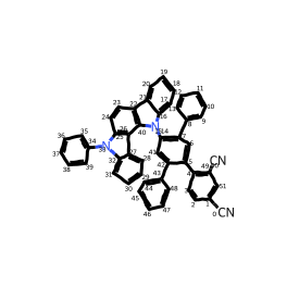 N#Cc1ccc(-c2cc(-c3ccccc3)c(-n3c4ccccc4c4ccc5c(c6ccccc6n5-c5ccccc5)c43)cc2-c2ccccc2)c(C#N)c1